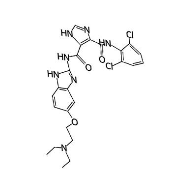 CCN(CC)CCOc1ccc2[nH]c(NC(=O)c3[nH]cnc3C(=O)Nc3c(Cl)cccc3Cl)nc2c1